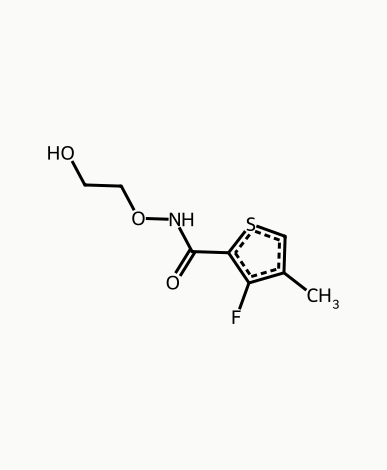 Cc1csc(C(=O)NOCCO)c1F